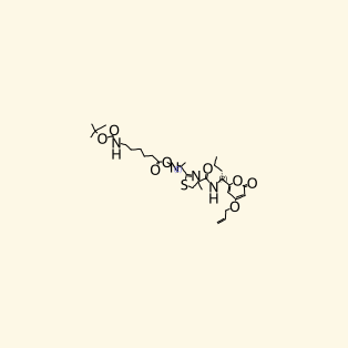 C=CCOc1cc([C@@H](CCC)NC(=O)C2(C)CSC(/C(C)=N/OC(=O)CCCCCNC(=O)OC(C)(C)C)=N2)oc(=O)c1